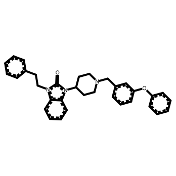 O=c1n(CCc2ccccc2)c2ccccc2n1C1CCN(Cc2cccc(Oc3ccccc3)c2)CC1